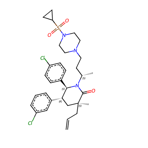 C=CC[C@@]1(C)C[C@H](c2cccc(Cl)c2)[C@@H](c2ccc(Cl)cc2)N([C@@H](C)CCN2CCN(S(=O)(=O)C3CC3)CC2)C1=O